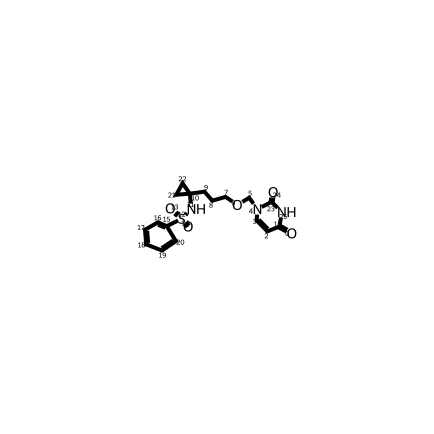 O=c1ccn(COCCCC2(NS(=O)(=O)c3ccccc3)CC2)c(=O)[nH]1